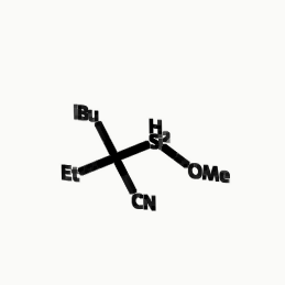 CCC(C)C(C#N)(CC)[SiH2]OC